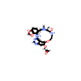 C[C@H]1C(=O)NCCCOc2cc3c(ncnc3cc2OC[C@@H]2CO2)Nc2c(ccc3c2OCO3)CN1C